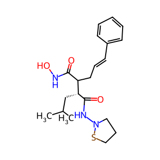 CC(C)C[C@@H](C(=O)NN1CCCS1)C(C/C=C/c1ccccc1)C(=O)NO